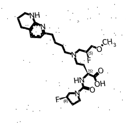 COC[C@@H](F)CN(CCCCc1ccc2c(n1)NCCC2)CC[C@H](NC(=O)N1CC[C@@H](F)C1)C(=O)O